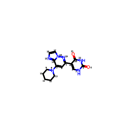 O=c1[nH]cc(-c2cc(N3CCCCC3)c3nccn3n2)c(=O)[nH]1